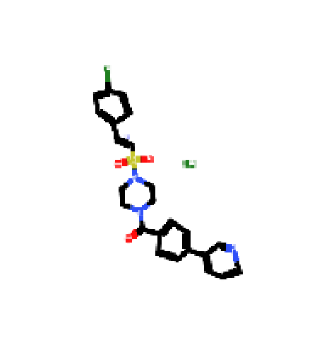 Cl.O=C(c1ccc(-c2cccnc2)cc1)N1CCN(S(=O)(=O)/C=C/c2ccc(Cl)cc2)CC1